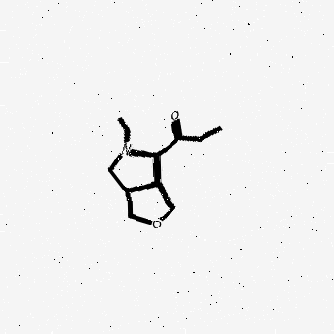 CCC(=O)C1C2COCC2CN1C